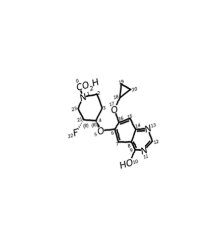 O=C(O)N1CC[C@@H](Oc2cc3c(O)ncnc3cc2OC2CC2)[C@H](F)C1